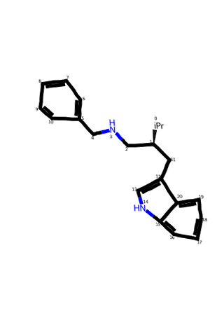 CC(C)[C@H](CNCc1ccccc1)Cc1c[nH]c2ccccc12